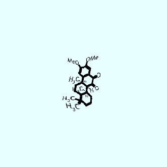 COc1cc2c(cc1OC)[C@]1(C)CCC3C(C)(C)CCC[C@]3(C)[C@@H]1C(=O)C2=O